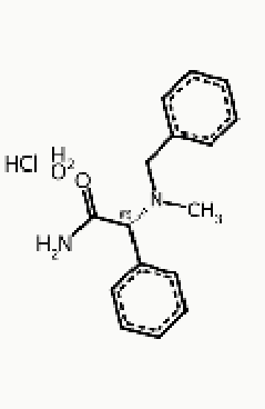 CN(Cc1ccccc1)[C@@H](C(N)=O)c1ccccc1.Cl.O